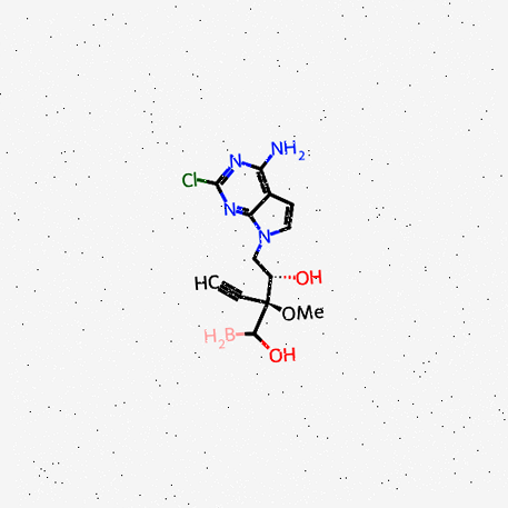 BC(O)[C@@](C#C)(OC)[C@@H](O)Cn1ccc2c(N)nc(Cl)nc21